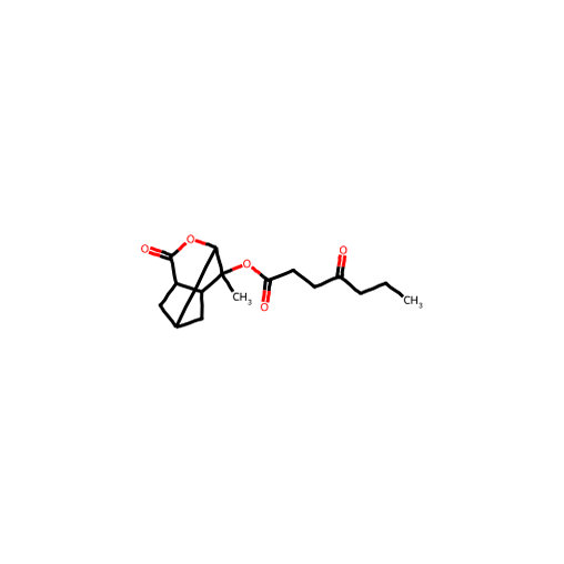 CCCC(=O)CCC(=O)OC1(C)C2CC3CC2C(=O)OC31